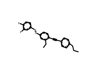 CCCc1ccc(C#Cc2ccc(N=Nc3ccc(F)c(F)c3)cc2CC)cc1